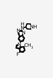 Cc1ccc(F)c2ccn(-c3ccc4nc(NC5CCNCC5)ncc4c3)c12